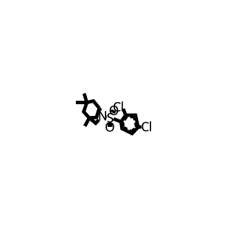 CC1(C)CC2CC(C)(CN2S(=O)(=O)c2ccc(Cl)cc2Cl)C1